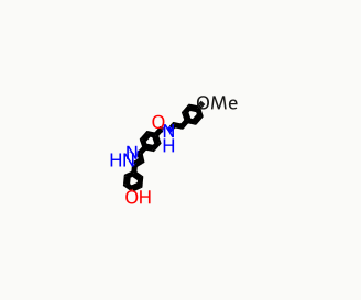 COc1ccc(CCNC(=O)c2ccc(-c3cc(-c4ccc(O)cc4)[nH]n3)cc2)cc1